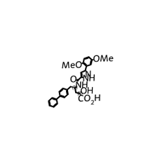 COc1ccc(OC)c(-c2cc(C(=O)N[C@H](Cc3ccc(-c4ccccc4)cc3)C[C@@H](O)C(=O)O)[nH]n2)c1